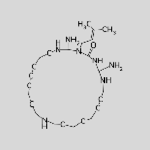 CC(C)=CCN1C(=O)NC(N)NCCCCCCCCNCCCCCCCCNC1N